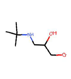 CC(C)(C)NCC(O)C[O]